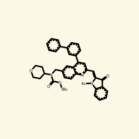 CC(=O)N1/C(=C\c2cc(-c3cccc(-c4ccccc4)c3)c3cc(CN(C(=O)OC(C)(C)C)C4CCOCC4)ccc3n2)C(=O)c2ccccc21